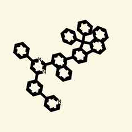 c1ccc(-c2cc(-c3cccc(-c4cccnc4)c3)nc(-c3ccc(-c4ccc5c(c4)C(c4ccccc4)(c4ccccc4)c4c-5ccc5ccccc45)c4ccccc34)n2)cc1